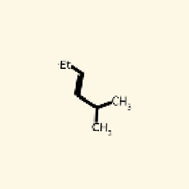 C[CH]C=CC(C)C